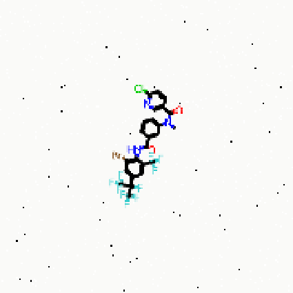 CN(C(=O)c1ccc(Cl)nc1)c1cccc(C(=O)Nc2c(Br)cc(C(F)(C(F)(F)F)C(F)(F)F)cc2C(F)(F)F)c1